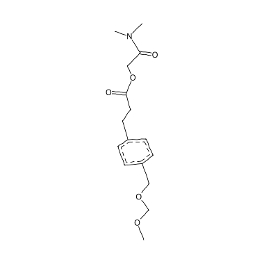 COCOCc1ccc(CCC(=O)OCC(=O)N(C)C)cc1